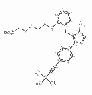 CCOC(=O)CCCCCOc1ccccc1Cn1c(C)cnc1-c1ccc(C#C[Si](C)(C)C)cc1